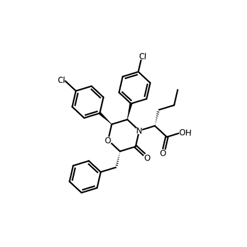 CCC[C@H](C(=O)O)N1C(=O)[C@H](Cc2ccccc2)O[C@@H](c2ccc(Cl)cc2)[C@H]1c1ccc(Cl)cc1